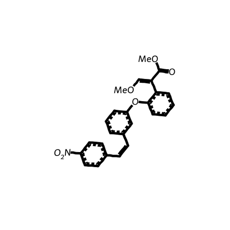 CO/C=C(/C(=O)OC)c1ccccc1Oc1cccc(/C=C\c2ccc([N+](=O)[O-])cc2)c1